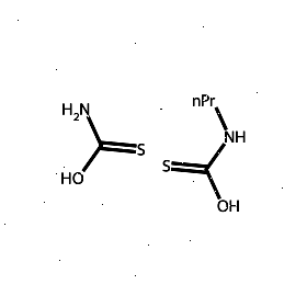 CCCNC(O)=S.NC(O)=S